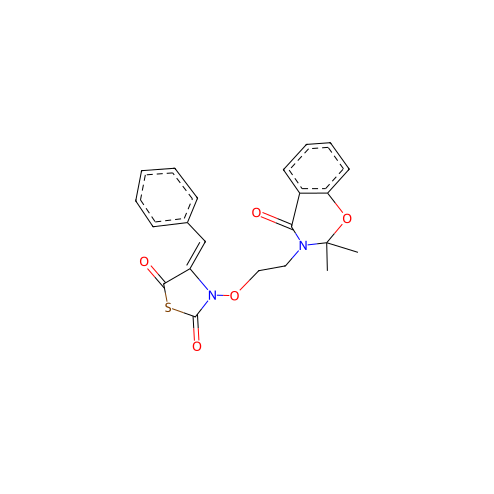 CC1(C)Oc2ccccc2C(=O)N1CCON1C(=O)SC(=O)C1=Cc1ccccc1